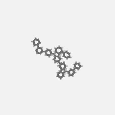 c1ccc(-c2cccc(-c3ccc(-n4c5ccc(-c6ccc7c(c6)c6ccccc6n7-c6cccc(-c7ccccc7)c6)cc5c5c(-c6ccccc6)cccc54)cc3)c2)cc1